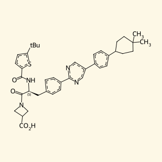 CC1(C)CCC(c2ccc(-c3cnc(-c4ccc(C[C@H](NC(=O)c5ccc(C(C)(C)C)s5)C(=O)N5CC(C(=O)O)C5)cc4)nc3)cc2)CC1